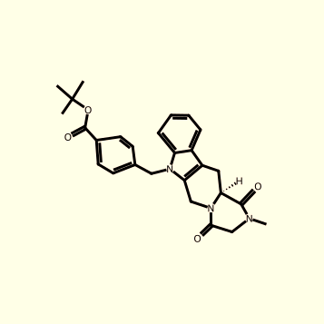 CN1CC(=O)N2Cc3c(c4ccccc4n3Cc3ccc(C(=O)OC(C)(C)C)cc3)C[C@H]2C1=O